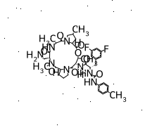 Cc1ccc(NC(=O)N[C@@H](Cc2cc(F)cc(F)c2)C(=O)N[C@@H]2C(=O)N3CCC[C@H]3C(=O)N(C)[C@@H](CN)C(=O)N[C@@H](C)C(=O)N3C[C@@H](C)C[C@H]3C(=O)O[C@H]2C)cc1